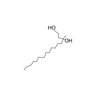 CCCCCCCCCCCCCC(C)(O)CCCO